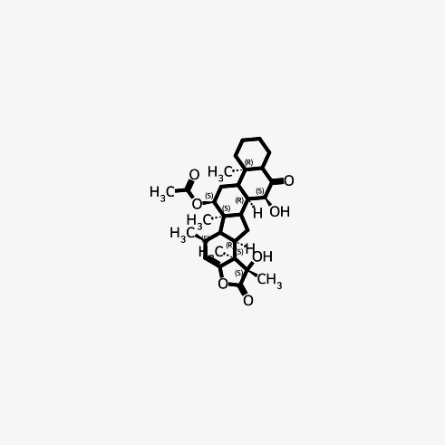 CC(=O)O[C@H]1CC2[C@H](C3C[C@@H]4C([C@H](C)C=C5OC(=O)[C@@](C)(O)[C@@]54C)[C@]31C)[C@H](O)C(=O)C1CCCC[C@@]12C